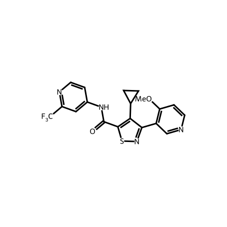 COc1ccncc1-c1nsc(C(=O)Nc2ccnc(C(F)(F)F)c2)c1C1CC1